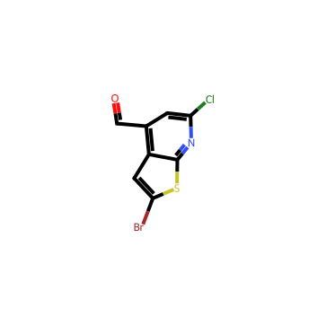 O=Cc1cc(Cl)nc2sc(Br)cc12